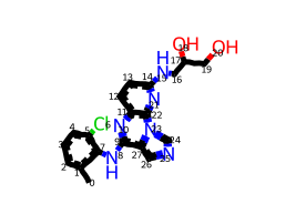 Cc1cccc(Cl)c1Nc1nc2ccc(NCC(O)CO)nc2n2cncc12